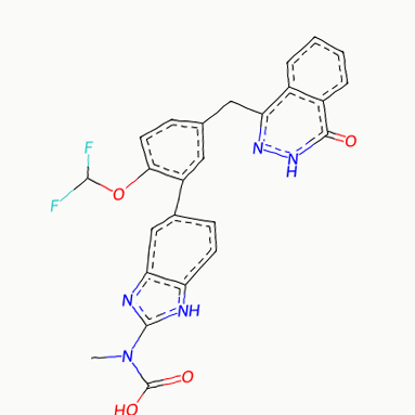 CN(C(=O)O)c1nc2cc(-c3cc(Cc4n[nH]c(=O)c5ccccc45)ccc3OC(F)F)ccc2[nH]1